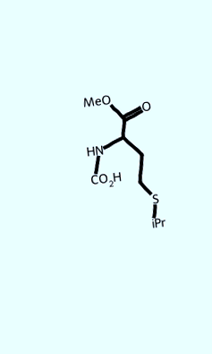 COC(=O)C(CCSC(C)C)NC(=O)O